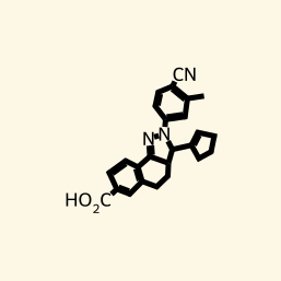 Cc1cc(N2N=C3c4ccc(C(=O)O)cc4CCC3C2C2=CCCC2)ccc1C#N